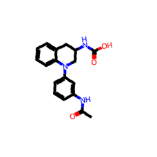 CC(=O)Nc1cccc(N2CC(NC(=O)O)Cc3ccccc32)c1